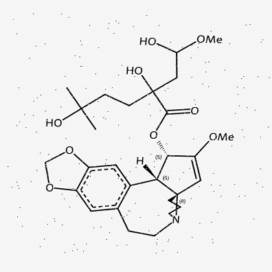 COC1=C[C@]23CCCN2CCc2cc4c(cc2[C@@H]3[C@@H]1OC(=O)C(O)(CCC(C)(C)O)CC(O)OC)OCO4